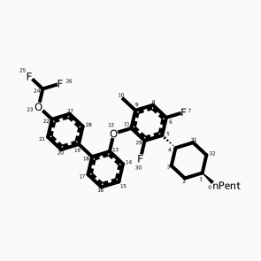 CCCCC[C@H]1CC[C@H](c2c(F)cc(C)c(Oc3ccccc3-c3ccc(OC(F)F)cc3)c2F)CC1